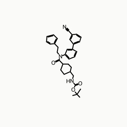 CC(C)(C)OC(=O)NCC1CCC(C(=O)N(CCc2ccccc2)c2cccc(-c3cccc(C#N)c3)c2)CC1